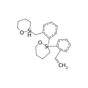 C=Cc1ccccc1[Si]1(c2ccccc2C[SiH]2CCCCO2)CCCCO1